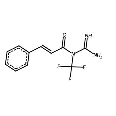 N=C(N)N(C(=O)C=Cc1ccccc1)C(F)(F)F